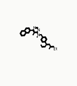 C\C=C/C(=C\C(C)=C\CC)c1ccc(CN(C)c2ncnc(-c3ccc4ccccc4c3)c2C)cc1